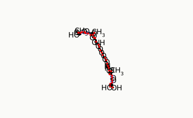 COc1cc(/C=C/C(=O)CC(=O)/C=C/c2ccc(OC(=O)CCCC(=O)NCCOCCOCCOCCOCCOCCOCCn3cc(COc4ccc(/C=C/C(=O)CC(=O)/C=C/c5ccc(O)c(CO)c5)cc4OC)nn3)c(OC)c2)ccc1O